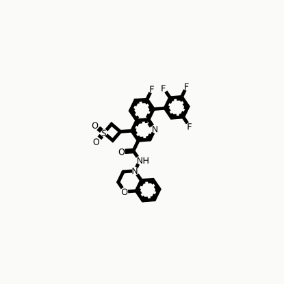 O=C(NN1CCOc2ccccc21)c1cnc2c(-c3cc(F)cc(F)c3F)c(F)ccc2c1C1CS(=O)(=O)C1